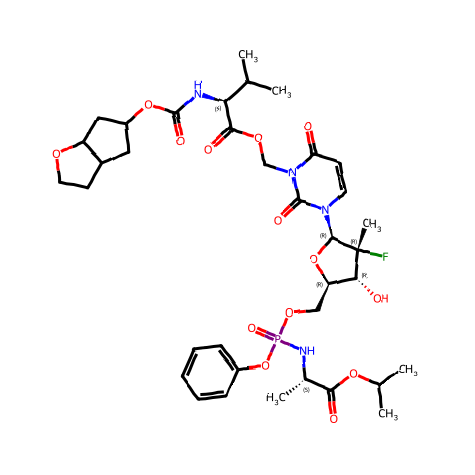 CC(C)OC(=O)[C@H](C)NP(=O)(OC[C@H]1O[C@@H](n2ccc(=O)n(COC(=O)[C@@H](NC(=O)OC3CC4CCOC4C3)C(C)C)c2=O)[C@](C)(F)[C@@H]1O)Oc1ccccc1